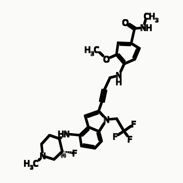 CNC(=O)c1ccc(NCC#Cc2cc3c(NC4CCN(C)C[C@H]4F)cccc3n2CC(F)(F)F)c(OC)c1